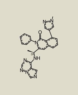 C[C@H](Nc1ncnn2cncc12)c1cc2cccc(-c3cnn(C)c3)c2c(=O)n1-c1ccccc1